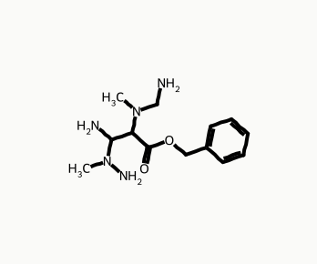 CN(N)C(N)C(C(=O)OCc1ccccc1)N(C)CN